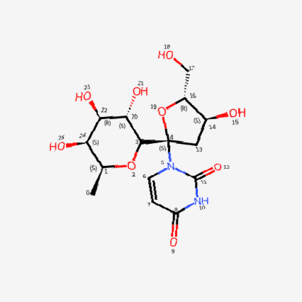 C[C@@H]1OC([C@]2(n3ccc(=O)[nH]c3=O)C[C@H](O)[C@@H](CO)O2)[C@@H](O)[C@H](O)[C@@H]1O